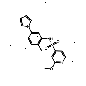 COc1cc(S(=O)(=O)Nc2cc(-n3cccc3)ccc2C)ccn1